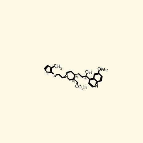 COc1ccc2nccc([C@H](O)CC[C@@H]3CCN(CCSc4sccc4C)C[C@@H]3CC(=O)O)c2c1